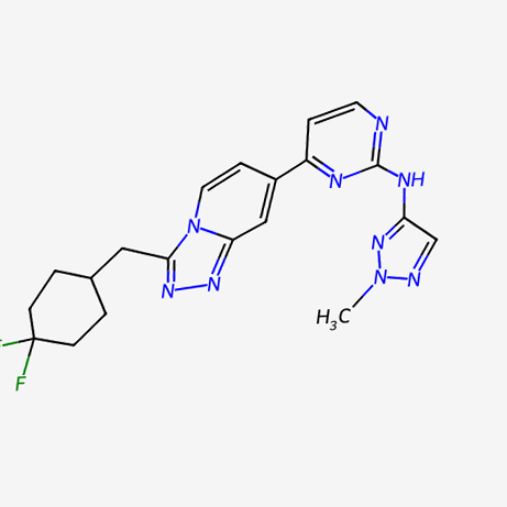 Cn1ncc(Nc2nccc(-c3ccn4c(CC5CCC(F)(F)CC5)nnc4c3)n2)n1